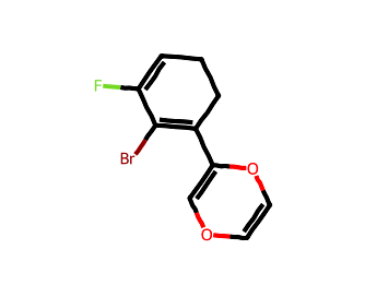 FC1=CCCC(C2=COC=CO2)=C1Br